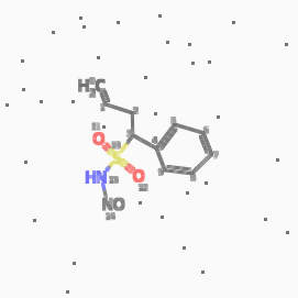 C=CCC(c1ccccc1)S(=O)(=O)NN=O